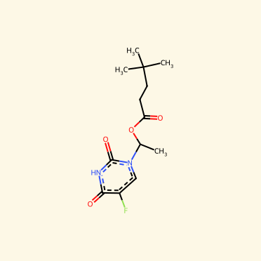 CC(OC(=O)CCC(C)(C)C)n1cc(F)c(=O)[nH]c1=O